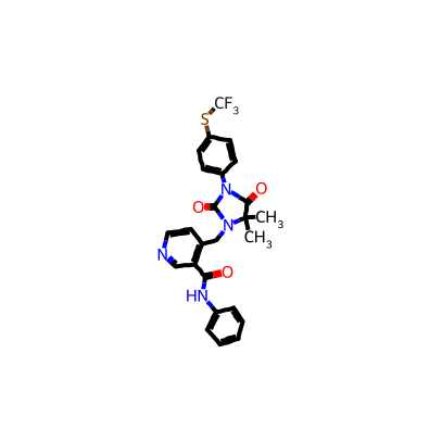 CC1(C)C(=O)N(c2ccc(SC(F)(F)F)cc2)C(=O)N1Cc1ccncc1C(=O)Nc1ccccc1